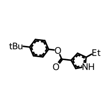 CCc1cc(C(=O)Oc2ccc(C(C)(C)C)cc2)c[nH]1